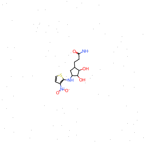 [NH]C(=O)CCC1CC(Nc2sccc2[N+](=O)[O-])C(O)C1O